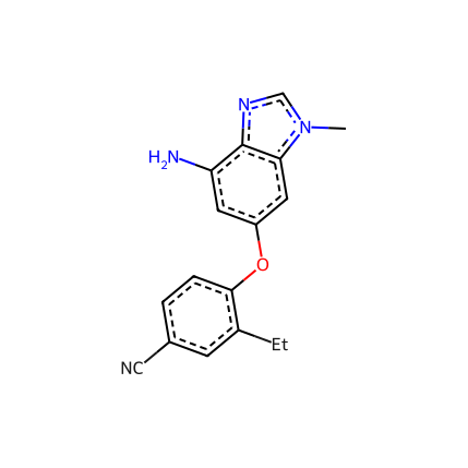 CCc1cc(C#N)ccc1Oc1cc(N)c2ncn(C)c2c1